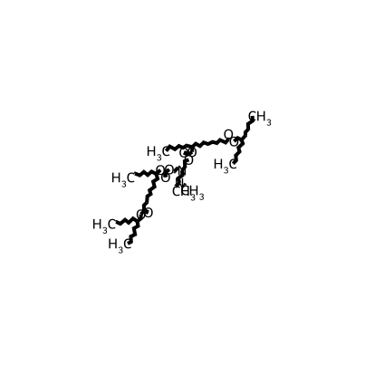 CCCCCCC(CCCCCC)COC(=O)CCCCCCCCC(CCCCCC)OC(=O)OCCN(CCOC(=O)OC(CCCCCC)CCCCCCCCC(=O)OCC(CCCCCC)CCCCCC)CCN(CC)CC